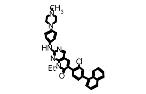 CCn1c(=O)c(-c2ccc(-c3cccc4ccccc34)cc2Cl)cc2cnc(Nc3ccc(N4CCN(C)CC4)cc3)nc21